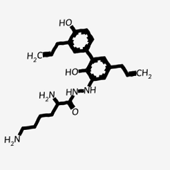 C=CCc1cc(NNC(=O)C(N)CCCCN)c(O)c(-c2ccc(O)c(CC=C)c2)c1